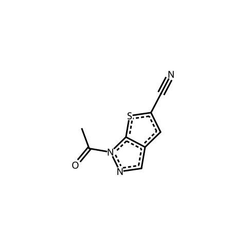 CC(=O)n1ncc2cc(C#N)sc21